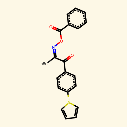 CCCCC(=NOC(=O)c1ccccc1)C(=O)c1ccc([SH]2C=CC=C2)cc1